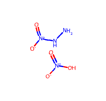 NN[N+](=O)[O-].O=[N+]([O-])O